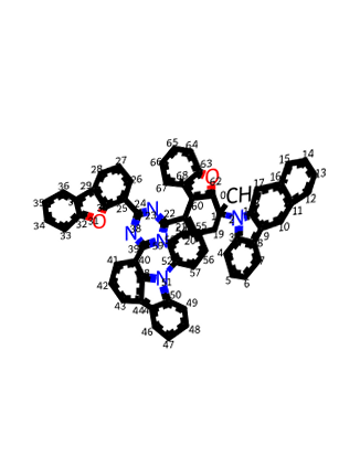 CC1(n2c3ccccc3c3cc4ccccc4cc32)CC=C(c2nc(-c3cccc4c3oc3ccccc34)nc(-c3cccc4c5ccccc5n(-c5ccccc5)c34)n2)c2c1oc1ccccc21